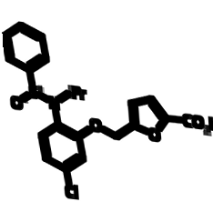 CC(C)N(c1ccc(Cl)cc1OCc1ccc(C(=O)O)o1)[S+]([O-])c1ccccc1